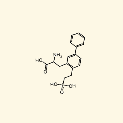 NC(Cc1cc(-c2ccccc2)ccc1CCP(=O)(O)O)C(=O)O